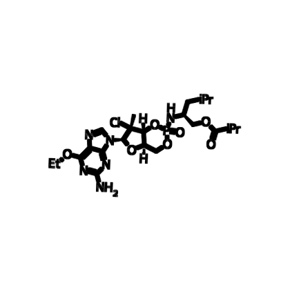 CCOc1nc(N)nc2c1ncn2[C@@H]1O[C@@H]2COP(=O)(N[C@H](COC(=O)C(C)C)CC(C)C)O[C@H]2[C@@]1(C)Cl